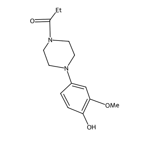 CCC(=O)N1CCN(c2ccc(O)c(OC)c2)CC1